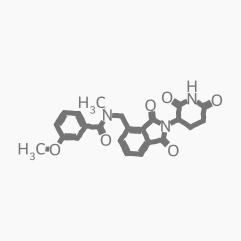 COc1cccc(C(=O)N(C)Cc2cccc3c2C(=O)N(C2CCC(=O)NC2=O)C3=O)c1